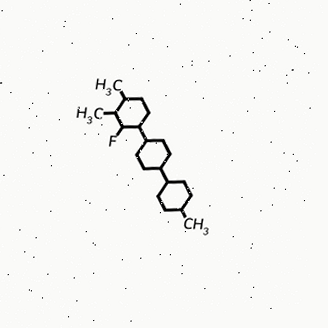 CC1CCC(C2CCC(C3CCC(C)C(C)C3F)CC2)CC1